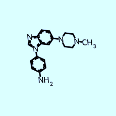 CN1CCN(c2ccc3ncn(-c4ccc(N)cc4)c3c2)CC1